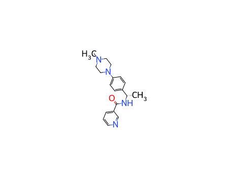 C[C@H](NC(=O)c1cccnc1)c1ccc(N2CCN(C)CC2)cc1